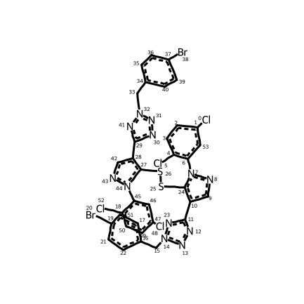 Clc1ccc(Cl)c(-n2ncc(-c3nnn(Cc4ccc(Br)cc4)n3)c2SSc2c(-c3nnn(Cc4ccc(Br)cc4)n3)cnn2-c2cc(Cl)ccc2Cl)c1